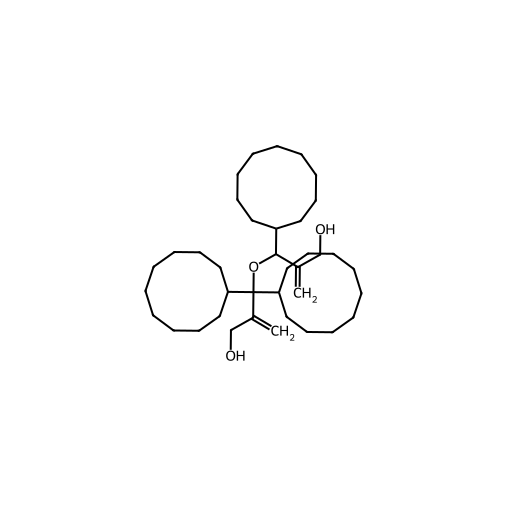 C=C(CO)C(OC(C(=C)CO)(C1CCCCCCCCC1)C1CCCCCCCCC1)C1CCCCCCCCC1